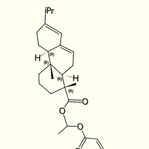 C=CC(=O)OC(C)OC(=O)[C@]1(C)CCC[C@@]2(C)[C@H]1CC=C1C=C(C(C)C)CC[C@@H]12